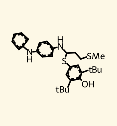 CSCCC(Nc1ccc(Nc2ccccc2)cc1)Sc1cc(C(C)(C)C)c(O)c(C(C)(C)C)c1